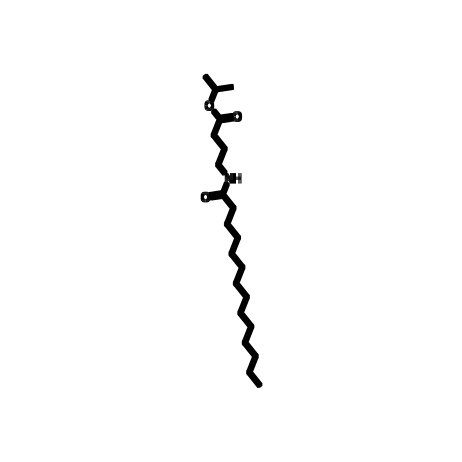 CCCCCCCCCCCCCC(=O)NCCCC(=O)OC(C)C